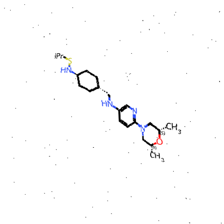 CC(C)SN[C@H]1CC[C@H](CNc2ccc(N3C[C@@H](C)O[C@@H](C)C3)nc2)CC1